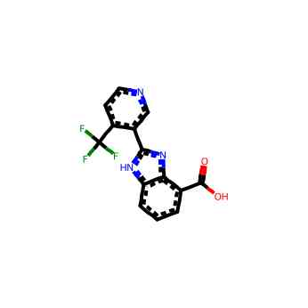 O=C(O)c1cccc2[nH]c(-c3cnccc3C(F)(F)F)nc12